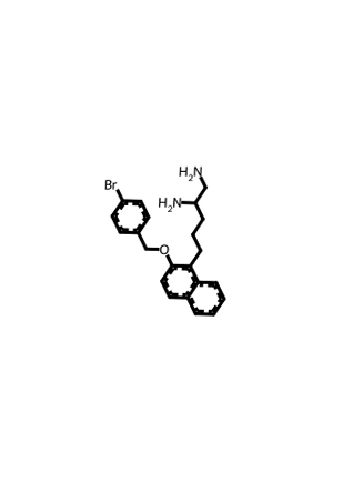 NCC(N)CCCc1c(OCc2ccc(Br)cc2)ccc2ccccc12